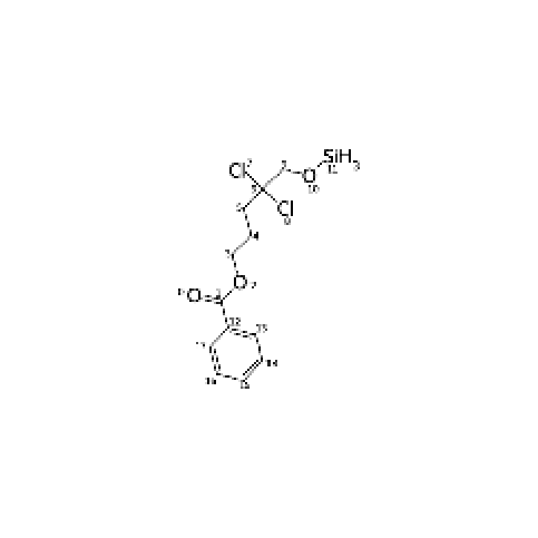 O=C(OCCCC(Cl)(Cl)CO[SiH3])c1ccccc1